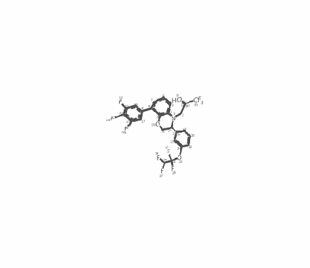 O[C@H](CN1c2cccc(-c3cc(F)c(F)c(F)c3)c2OCC1[C@@H]1C=C(OC(F)(F)C(F)F)C=CC1)C(F)(F)F